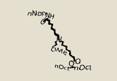 CCCCCCCCCNC(=O)CCCCCCCN(CCCCCCCC(=O)OC(CCCCCCCC)CCCCCCCC)CCCOC